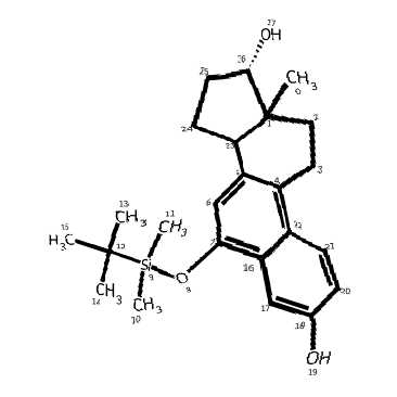 CC12CCc3c(cc(O[Si](C)(C)C(C)(C)C)c4cc(O)ccc34)C1CC[C@@H]2O